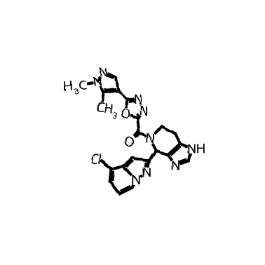 Cc1c(-c2nnc(C(=O)N3CCc4[nH]cnc4C3c3cc4c(Cl)cccn4n3)o2)cnn1C